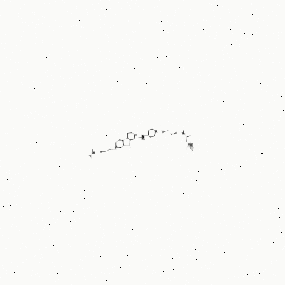 C=C(C)C(=O)OCCCOc1ccc2c(c1)C(C)c1cc(OC(=O)c3ccc(OCCCCOC(=O)C(=C)CC(=O)OC)cc3)ccc1-2